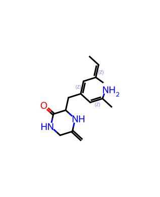 C=C1CNC(=O)C(CC(/C=C(/C)N)=C/C(C)=C\C)N1